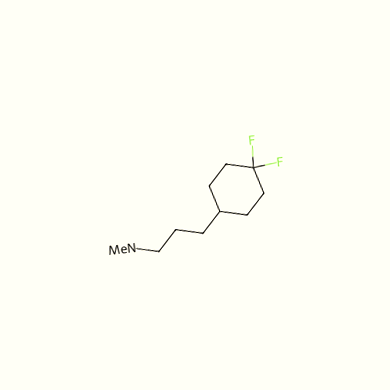 CNCCCC1CCC(F)(F)CC1